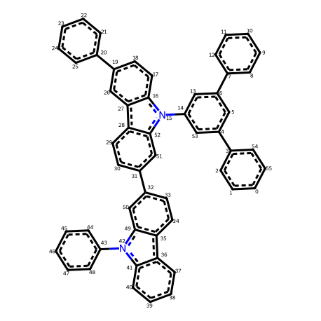 c1ccc(-c2cc(-c3ccccc3)cc(-n3c4ccc(-c5ccccc5)cc4c4ccc(-c5ccc6c7ccccc7n(-c7ccccc7)c6c5)cc43)c2)cc1